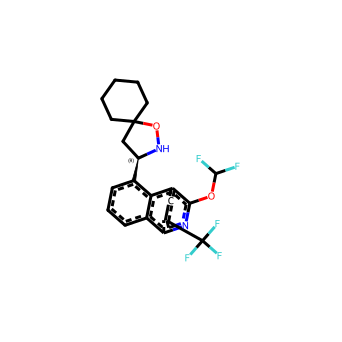 FC(F)Oc1nc2c(C(F)(F)F)cc1c1c([C@H]3CC4(CCCCC4)ON3)cccc21